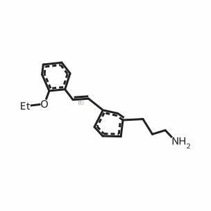 CCOc1ccccc1/C=C/c1cccc(CCCN)c1